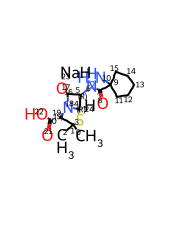 CC1(C)S[C@@H]2[C@H](NC(=O)C3(N)CCCCC3)C(=O)N2[C@H]1C(=O)O.[NaH]